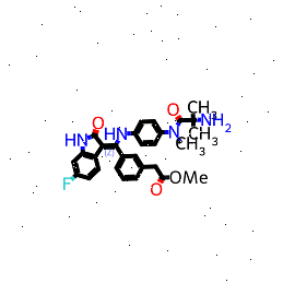 COC(=O)Cc1cccc(/C(Nc2ccc(N(C)C(=O)C(C)(C)N)cc2)=C2/C(=O)Nc3cc(F)ccc32)c1